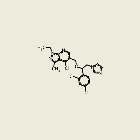 CCn1nc(C)c2c(Cl)c(COC(Cn3ccnc3)c3ccc(Cl)cc3Cl)cnc21